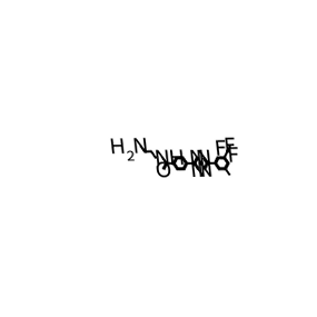 Cc1cc(-c2nnc(-c3ccc(C(=O)NCCCN)cc3)nn2)cc(C(F)(F)F)c1